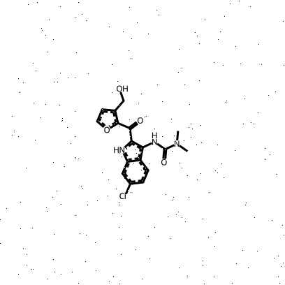 CN(C)C(=O)Nc1c(C(=O)c2occc2CO)[nH]c2cc(Cl)ccc12